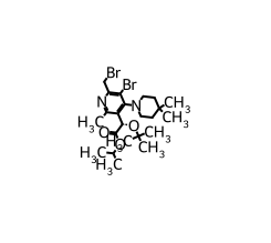 Cc1nc(CBr)c(Br)c(N2CCC(C)(C)CC2)c1[C@H](OC(C)(C)C)C(=O)OC(C)C